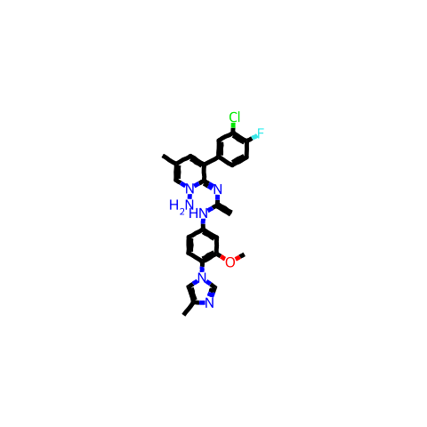 C=C(/N=c1/c(-c2ccc(F)c(Cl)c2)cc(C)cn1N)Nc1ccc(-n2cnc(C)c2)c(OC)c1